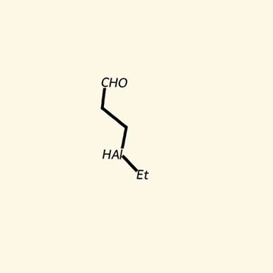 C[CH2][AlH][CH2]CC=O